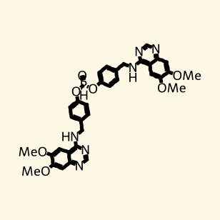 COc1cc2ncnc(NCc3ccc(O[PH](=O)Oc4ccc(CNc5ncnc6cc(OC)c(OC)cc56)cc4)cc3)c2cc1OC